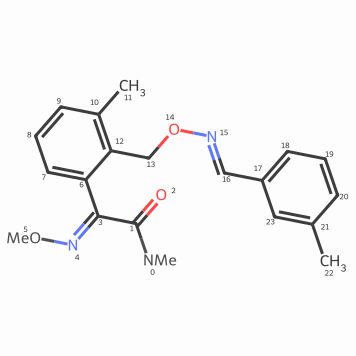 CNC(=O)/C(=N/OC)c1cccc(C)c1CO/N=C/c1cccc(C)c1